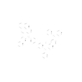 Cc1cc2c(cc1-c1ccc3c(c1)Sc1c(ccc4ccccc14)N3c1ccc3ccc4cccc5ccc1c3c45)C(C)(C)c1c(ccc3ccc(N(c4ccccc4)c4ccccc4)cc13)N2c1ccccc1